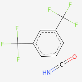 FC(F)(F)c1cccc(C(F)(F)F)c1.N=C=O